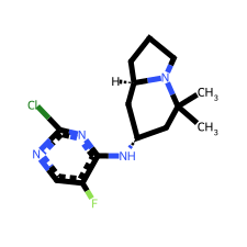 CC1(C)C[C@H](Nc2nc(Cl)ncc2F)C[C@H]2CCCN21